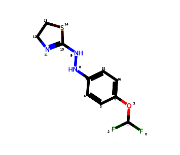 FC(F)Oc1ccc(NNC2=NCCS2)cc1